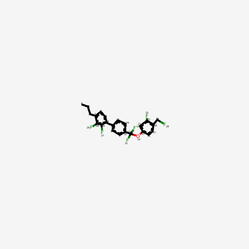 CCCc1ccc(-c2ccc(C(F)(F)Oc3ccc(CF)c(F)c3)cc2)c(F)c1F